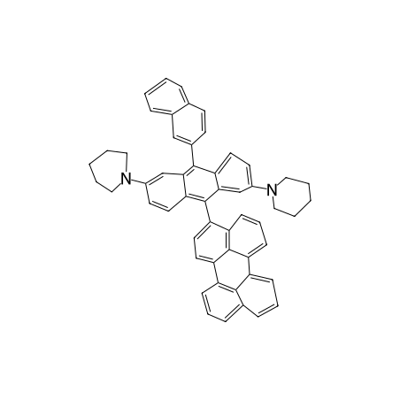 c1ccc2cc(-c3c4cc(N5CCCCC5)ccc4c(-c4ccc5c6cccc7cccc(c8cccc4c85)c76)c4cc(N5CCCCC5)ccc34)ccc2c1